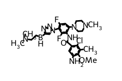 COc1c(N)cc(C(=O)Nc2c(N3CCN(C)CC3)cc(F)c(-n3cc(BCCN(C)C)nn3)c2F)c(Cl)c1C